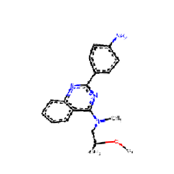 CC(C)OC(C)CN(C)c1nc(-c2ccc(N)cc2)nc2ccccc12